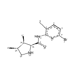 Cc1ccc(Br)nc1NC(=O)[C@H]1NC[C@@H](C)[C@H]1C